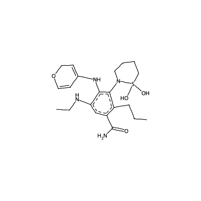 CCCc1c(C(N)=O)cc(NCC)c(NC2=CCOC=C2)c1N1CCCCS1(O)O